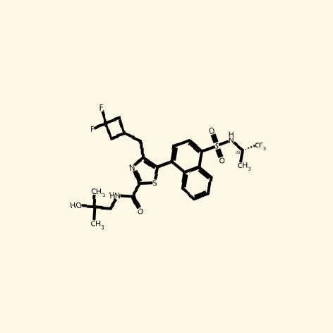 C[C@H](NS(=O)(=O)c1ccc(-c2sc(C(=O)NCC(C)(C)O)nc2CC2CC(F)(F)C2)c2ccccc12)C(F)(F)F